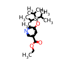 CCOC(=O)c1cncc(O[Si](C(C)C)(C(C)C)C(C)C)c1